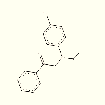 CC[C@@H](CC(=O)c1ccccc1)c1ccc(Br)cc1